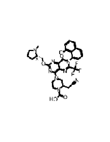 CN1CCC[C@H]1COc1nc(N2CCN(C(=O)O)C(CC#N)C2)c2nc(C(F)(F)F)n(-c3cccc4cccc(Cl)c34)c(=O)c2n1